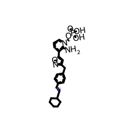 Nc1c(-c2cc(Cc3ccc(/C=C/C4CCCCC4)cc3)no2)ccc[n+]1COP(=O)(O)O